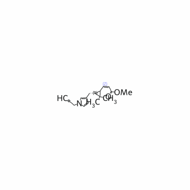 C#CCn1ccc(C[C@@H]2C(/C=C\C(=O)OC)C2(C)C)c1